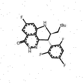 CC(C)(C)C[C@@H]1Nc2cc(F)cc3c(=O)[nH]nc(c23)[C@H]1c1c(F)cc(F)cc1F